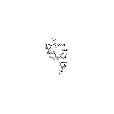 COc1ccc(-c2ccc(OCC(F)(F)F)nc2)c(O[C@H]2CC[C@H](Oc3cc(C(CC(=O)O)C4CC4)ccn3)CC2)c1